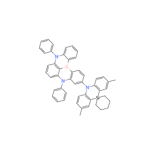 Cc1ccc2c(c1)[Si]1(CCCCC1)c1cc(C)ccc1N2c1ccc2c(c1)N(c1ccccc1)c1cccc3c1B2c1ccccc1N3c1ccccc1